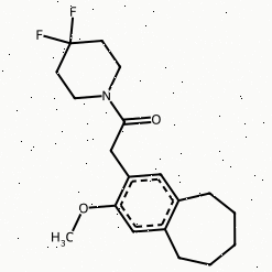 COc1cc2c(cc1CC(=O)N1CCC(F)(F)CC1)CCCCC2